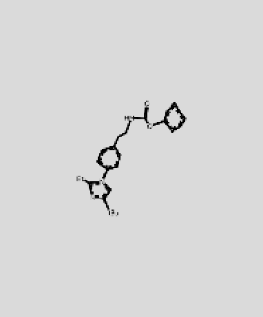 CCc1nc(C(C)(C)C)cn1-c1ccc(CCNC(=O)Oc2ccccc2)cc1